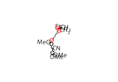 CCC(C)(C)C(=O)OCCCCCCOc1ccc(/C=C(\C#N)c2ccc(OC)c(OC)c2)cc1OC